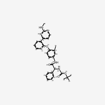 CNc1nccc(-c2cccnc2Oc2ccc(NC(=O)C(NC(=O)OC(C)(C)C)c3ccccc3)cc2C)n1